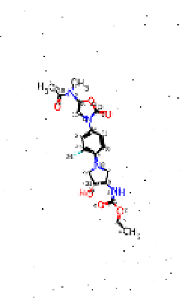 CCOC(=O)N[C@@H]1CN(c2ccc(N3CC(N(C)C(C)=O)OC3=O)cc2F)C[C@H]1O